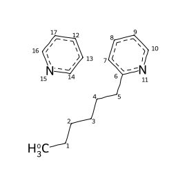 CCCCCCc1ccccn1.c1ccncc1